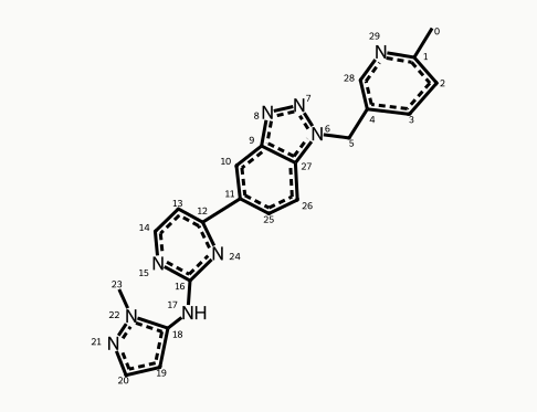 Cc1ccc(Cn2nnc3cc(-c4ccnc(Nc5ccnn5C)n4)ccc32)cn1